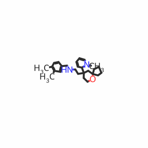 Cc1ccc(CNCCC2(C3C=CC=CN3C)CCOC3(CCCC3)C2)cc1C